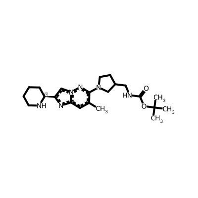 Cc1cc2nc([C@@H]3CCCCN3)cn2nc1N1CCC(CNC(=O)OC(C)(C)C)C1